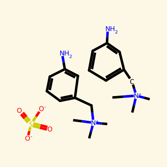 C[N+](C)(C)Cc1cccc(N)c1.C[N+](C)(C)Cc1cccc(N)c1.O=S(=O)([O-])[O-]